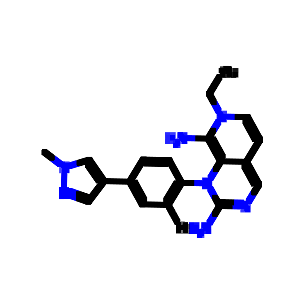 CCc1cc(-c2cnn(C)c2)ccc1N1C(N)=NC=C2C=CN(CC(C)(C)C)C(N)=C21